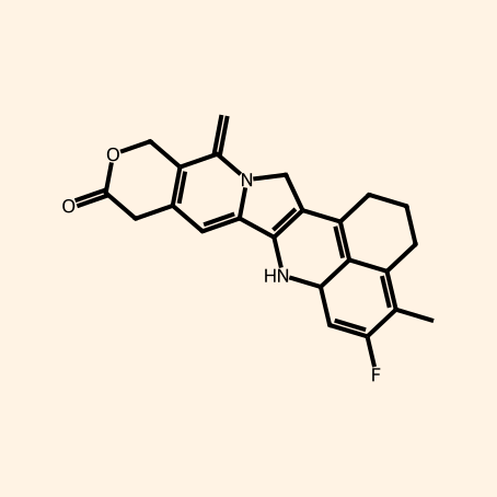 C=C1C2=C(C=C3C4=C(CN13)C1=C3C(=C(C)C(F)=CC3N4)CCC1)CC(=O)OC2